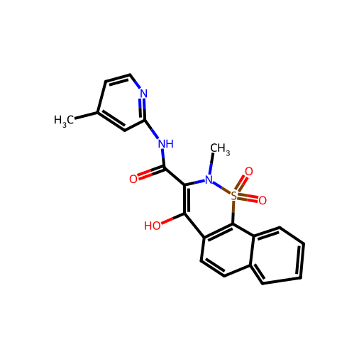 Cc1ccnc(NC(=O)C2=C(O)c3ccc4ccccc4c3S(=O)(=O)N2C)c1